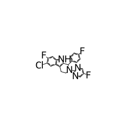 Fc1ccc(C2c3[nH]c4cc(F)c(Cl)cc4c3CCN2c2ncc(F)cn2)cc1